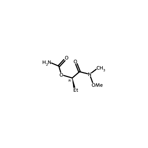 CC[C@@H](OC(N)=O)C(=O)N(C)OC